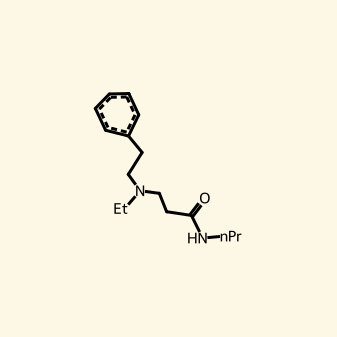 CCCNC(=O)CCN(CC)CCc1ccccc1